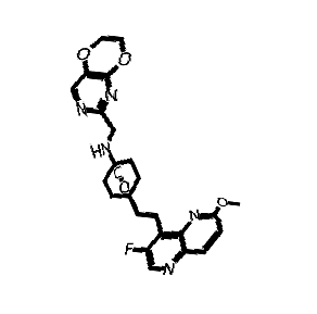 COc1ccc2ncc(F)c(CCC34CCC(NCc5ncc6c(n5)OCCO6)(CC3)CO4)c2n1